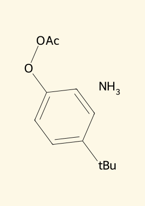 CC(=O)OOc1ccc(C(C)(C)C)cc1.N